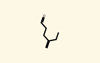 C=C(CC)CCC=O